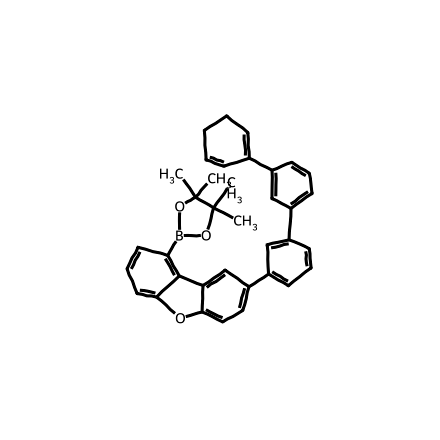 CC1(C)OB(c2cccc3oc4ccc(-c5cccc(-c6cccc(C7=CCCC=C7)c6)c5)cc4c23)OC1(C)C